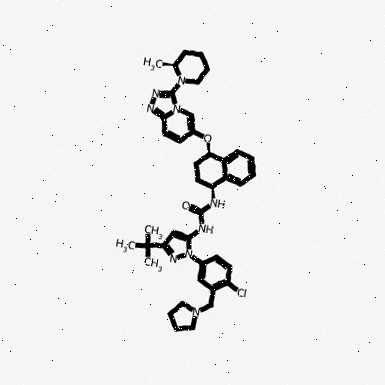 C[C@H]1CCCCN1c1nnc2ccc(O[C@@H]3CC[C@H](NC(=O)Nc4cc(C(C)(C)C)nn4-c4ccc(Cl)c(CN5CCCC5)c4)c4ccccc43)cn12